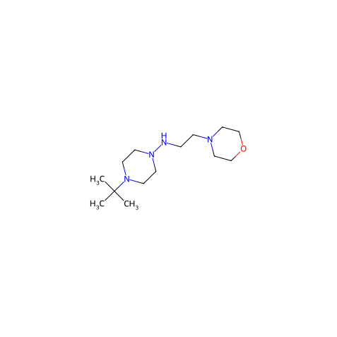 CC(C)(C)N1CCN(NCCN2CCOCC2)CC1